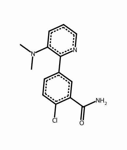 CN(C)c1cccnc1-c1ccc(Cl)c(C(N)=O)c1